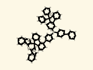 c1ccc(-c2ccc(N(c3ccc(-c4cccc5c4-c4ccccc4C54c5ccc6ccccc6c5Oc5c4ccc4ccccc54)cc3)c3ccc4c(c3)-c3ccccc3C4(c3ccccc3)c3ccccc3)cc2)cc1